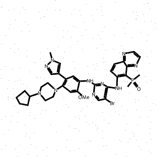 COc1cc(N2CCN(C3CCCC3)CC2)c(-c2cnn(C)c2)cc1Nc1ncc(Br)c(Nc2ccc3nccnc3c2P(C)(C)=O)n1